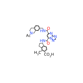 CC(=O)N1CCc2ccc(CNC(=O)c3cc(C(=O)N[C@H]4CCc5c4ccc(C(=O)O)c5C)n4ncnc4n3)cc2C1